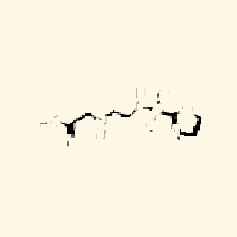 O=C(O)CNCCNS(=O)(=O)c1ncco1